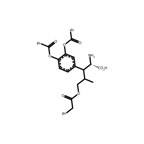 CC(C)CC(=O)OCC(C)C(c1ccc(OC(=O)C(C)C)c(OC(=O)C(C)C)c1)[C@H](N)C(=O)O